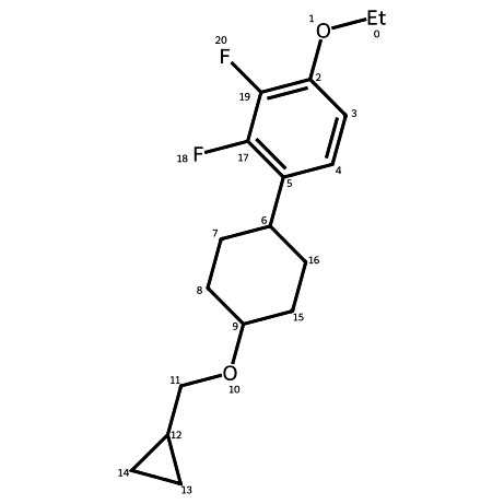 CCOc1ccc(C2CCC(OCC3CC3)CC2)c(F)c1F